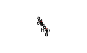 O=C(NCc1ccc(N2CCN(c3nnc(Cc4ccccc4)c4ccccc34)CC2)cc1)OCc1ccccc1